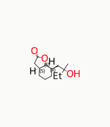 CCC(C)(O)C[C@H]1CCC[C@H]2CC(=O)O[C@@H]12